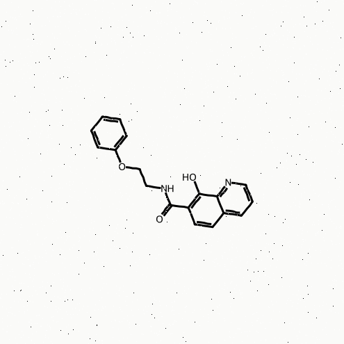 O=C(NCCOc1ccccc1)c1ccc2cccnc2c1O